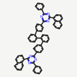 c1ccc(-c2nc(-c3ccc(-c4ccccc4-c4ccccc4-c4ccc(-c5nc(-c6ccccc6)nc(-c6cccc7ccccc67)n5)cc4)cc3)nc(-c3cccc4ccccc34)n2)cc1